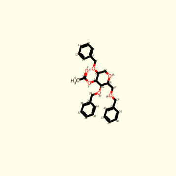 CC(=O)OC1C(OCc2ccccc2)COC(COCc2ccccc2)[C@H]1OCc1ccccc1